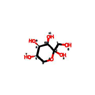 OC[C@]1(O)OC[C@H](O)[C@H](O)[C@H]1O